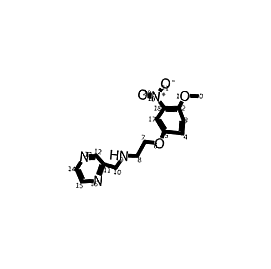 COc1ccc(OCCNCc2cnccn2)cc1[N+](=O)[O-]